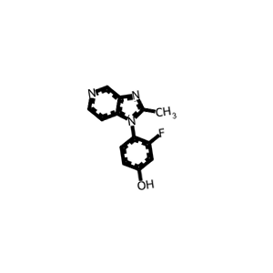 Cc1nc2cnccc2n1-c1ccc(O)cc1F